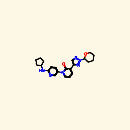 O=c1c(-c2cnn(C3CCCCO3)n2)cccn1-c1ccc(NC2CCCC2)nc1